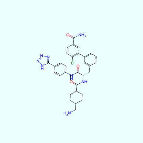 NCC1CCC(C(=O)N[C@@H](Cc2cccc(-c3cc(C(N)=O)ccc3Cl)c2)C(=O)Nc2ccc(-c3nnn[nH]3)cc2)CC1